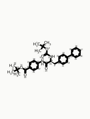 CC(C)(C)OC(=O)N[C@@H](Cc1ccc(-c2ccccc2)cc1)C(=O)Nc1ccc(C(=O)OC(C)(C)C)cc1